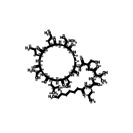 CCCCCCCC(=O)N[C@@H](CCN)C(=O)N[C@H](C(=O)NC(CO)C(=O)N[C@H]1CCNC(=O)[C@H]([C@@H](C)O)NC(=O)[C@H](CCN)NC(=O)[C@H](CCN)NC(=O)[C@H]([C@@H](C)O)NC(=O)[C@@H](CC(C)C)NC(=O)[C@H](CO)NC1=O)[C@@H](C)O